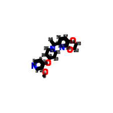 COc1cnccc1OC1CCN(C(C)c2ccc3c(n2)OCCO3)CC1